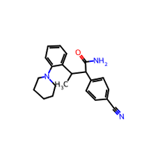 CC(c1ccccc1N1CCCCC1)C(C(N)=O)c1ccc(C#N)cc1